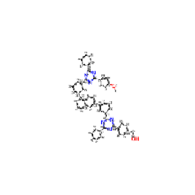 COc1ccc(-c2nc(-c3ccccc3)nc(-c3cccc(-c4cccc5cc(-c6cccc(-c7nc(-c8ccccc8)nc(-c8ccc(CO)cc8)n7)c6)ccc45)c3)n2)cc1